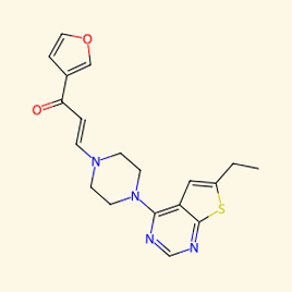 CCc1cc2c(N3CCN(C=CC(=O)c4ccoc4)CC3)ncnc2s1